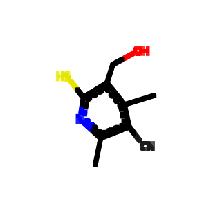 Cc1nc(S)c(CO)c(C)c1C#N